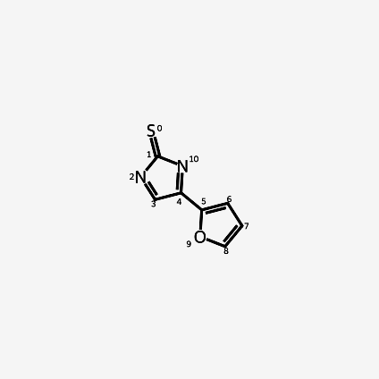 S=C1N=CC(c2ccco2)=N1